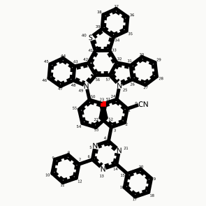 N#Cc1cc(-c2nc(-c3ccccc3)nc(-c3ccccc3)n2)ccc1-n1c2ccccc2c2c3c4ccccc4sc3c3c4ccccc4n(-c4ccccc4)c3c21